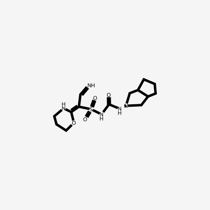 N=C/C(=C1\NCCCO1)S(=O)(=O)NC(=O)NN1CC2CCCC2C1